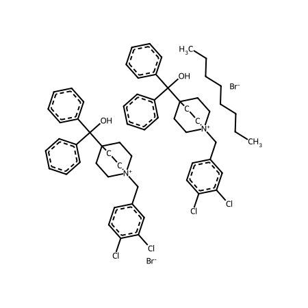 CCCCCCCC.OC(c1ccccc1)(c1ccccc1)C12CC[N+](Cc3ccc(Cl)c(Cl)c3)(CC1)CC2.OC(c1ccccc1)(c1ccccc1)C12CC[N+](Cc3ccc(Cl)c(Cl)c3)(CC1)CC2.[Br-].[Br-]